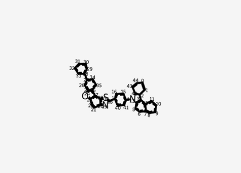 C1=CC2c3c(ccc4ccccc34)N(c3ccc(-c4nc5ccc6oc7cc(-c8ccccc8)ccc7c6c5s4)cc3)C2C=C1